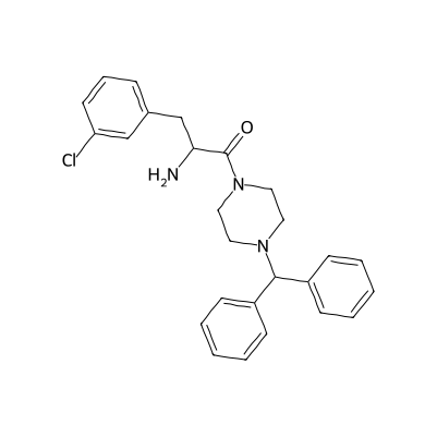 NC(Cc1cccc(Cl)c1)C(=O)N1CCN(C(c2ccccc2)c2ccccc2)CC1